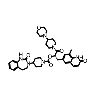 Cc1cc(C[C@@H](OC(=O)N2CCC(N3CCc4ccccc4NC3=O)CC2)C(=O)N2CCC(N3CCOCC3)CC2)cc2ccc(=O)[nH]c12